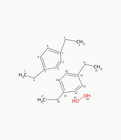 CCc1ccc(CC)cc1.CCc1ccc(CC)cc1.OO